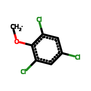 [CH2]Oc1c(Cl)cc(Cl)cc1Cl